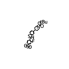 CC(C)(C)OC(=O)N1CCC(c2ccc3sc(-c4ccc(S(C)(=O)=O)cc4F)nc3c2)CC1